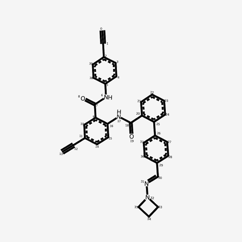 C#Cc1ccc(NC(=O)c2cc(C#C)ccc2NC(=O)c2ccccc2-c2ccc(C=NN3CCC3)cc2)cc1